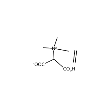 C=C.C[N+](C)(C)C(C(=O)[O-])C(=O)O